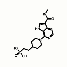 CNC(=O)c1c[nH]c2c(N3CCC(CCP(=O)(O)O)CC3)ncnc12